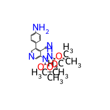 CC(C)(C)OC(=O)NN(C(=O)OC(C)(C)C)c1cncc(-c2ccc(N)cc2)c1C#N